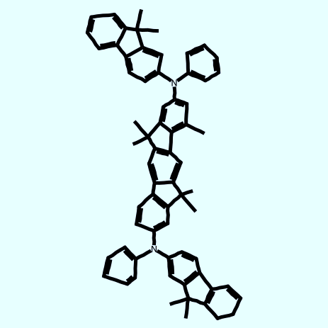 Cc1cc(N(c2ccccc2)c2ccc3c(c2)C(C)(C)c2ccccc2-3)cc2c1-c1cc3c(cc1C2(C)C)-c1ccc(N(c2ccccc2)c2ccc4c(c2)C(C)(C)C2=C4C=CCC2)cc1C3(C)C